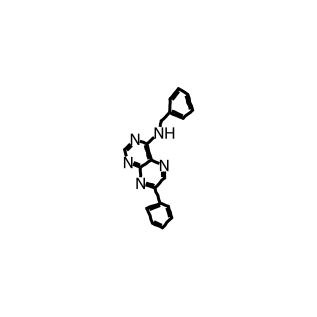 c1ccc(CNc2ncnc3nc(-c4ccccc4)cnc23)cc1